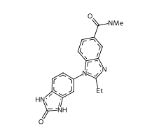 CCc1nc2cc(C(=O)NC)ccc2n1-c1ccc2[nH]c(=O)[nH]c2c1